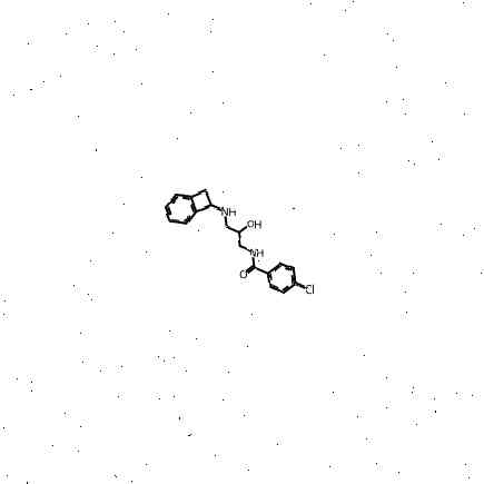 O=C(NCC(O)CNC1Cc2ccccc21)c1ccc(Cl)cc1